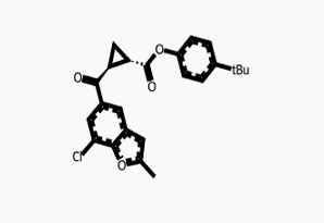 Cc1cc2cc(C(=O)[C@H]3C[C@@H]3C(=O)Oc3ccc(C(C)(C)C)cc3)cc(Cl)c2o1